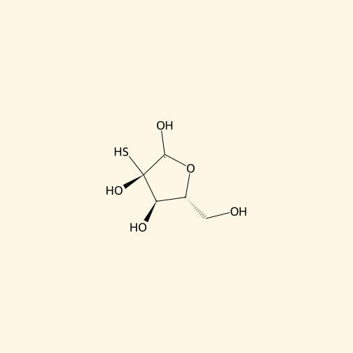 OC[C@H]1O[C](O)[C@@](O)(S)[C@@H]1O